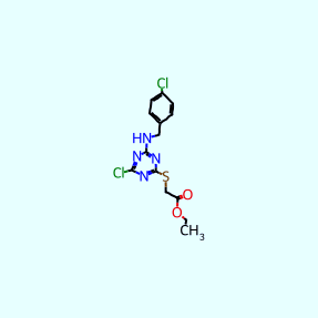 CCOC(=O)CSc1nc(Cl)nc(NCc2ccc(Cl)cc2)n1